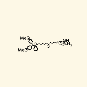 COc1ccc(C(OCCCCCCS(=S)CCCCCOCP(C)(=O)O)(c2ccccc2)c2ccc(OC)cc2)cc1